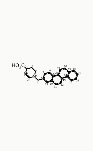 O=C(O)C1CCN(Cc2ccc3c(ccc4c5ccccc5ccc34)c2)C=N1